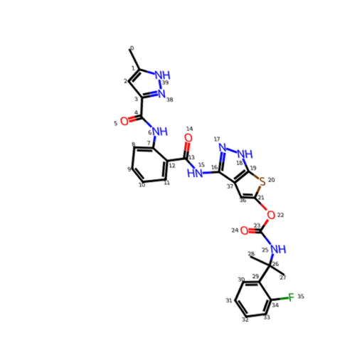 Cc1cc(C(=O)Nc2ccccc2C(=O)Nc2n[nH]c3sc(OC(=O)NC(C)(C)c4ccccc4F)cc23)n[nH]1